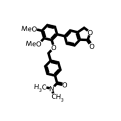 COc1ccc(-c2ccc3c(c2)COC3=O)c(OCc2ccc(C(=O)N(C)C)cc2)c1OC